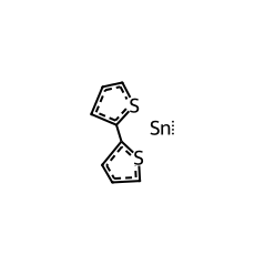 [Sn].c1csc(-c2cccs2)c1